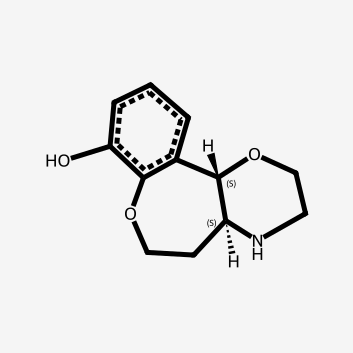 Oc1cccc2c1OCC[C@@H]1NCCO[C@@H]21